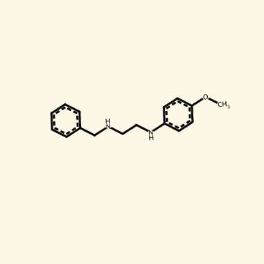 COc1ccc(NCCNCc2ccccc2)cc1